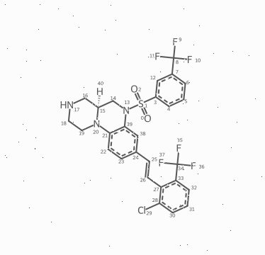 O=S(=O)(c1cccc(C(F)(F)F)c1)N1C[C@@H]2CNCCN2c2ccc(/C=C/c3c(Cl)cccc3C(F)(F)F)cc21